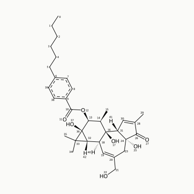 CCCCCCc1ccc(C(=O)O[C@H]2[C@@H](C)[C@@]3(O)[C@@H](C=C(CO)C[C@]4(O)C(=O)C(C)=C[C@@H]34)[C@@H]3C(C)(C)[C@@]32O)cc1